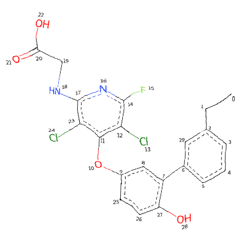 CCc1cccc(-c2cc(Oc3c(Cl)c(F)nc(NCC(=O)O)c3Cl)ccc2O)c1